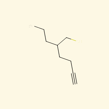 C#CCCC(CS)CCC(C)(C)C